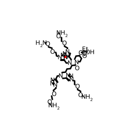 CCP(=O)(O)OC1CCN(C(=O)C(CCCCN(Cc2cn(CCOCCON)nn2)Cc2cn(CCOCCON)nn2)N(Cc2cn(CCOCCON)nn2)Cc2cn(CCOCCON)nn2)CC1